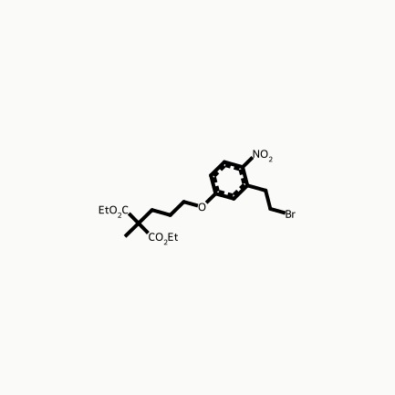 CCOC(=O)C(C)(CCCOc1ccc([N+](=O)[O-])c(CCBr)c1)C(=O)OCC